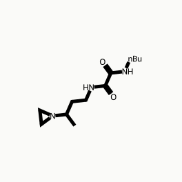 CCCCNC(=O)C(=O)NCCC(C)N1CC1